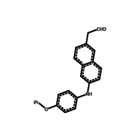 CC(C)Oc1ccc(Nc2ccc3cc(CC=O)ccc3c2)cc1